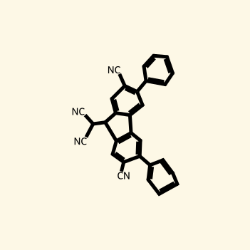 N#Cc1cc2c(cc1-c1ccccc1)-c1cc(-c3ccccc3)c(C#N)cc1C2C(C#N)C#N